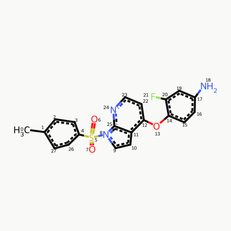 Cc1ccc(S(=O)(=O)n2ccc3c(Oc4ccc(N)cc4F)ccnc32)cc1